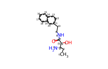 CC[C@H](N)[C@H](O)C(=O)NCCc1ccc2ccccc2c1